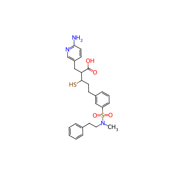 CN(CCc1ccccc1)S(=O)(=O)c1cccc(CCC(S)C(Cc2ccc(N)nc2)C(=O)O)c1